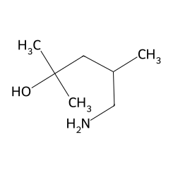 CC(CN)CC(C)(C)O